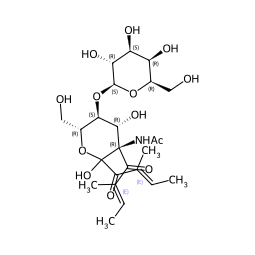 C/C=C(\C)C(=O)C1(O)O[C@H](CO)[C@@H](O[C@@H]2O[C@H](CO)[C@H](O)[C@H](O)[C@H]2O)[C@H](O)[C@]1(NC(C)=O)C(=O)/C(C)=C/C